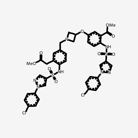 COC(=O)Cc1cc(CN2CC(Oc3ccc(NS(=O)(=O)c4cnn(-c5ccc(Cl)cc5)c4)c(C(=O)OC)c3)C2)ccc1NS(=O)(=O)c1cnn(-c2ccc(Cl)cc2)c1